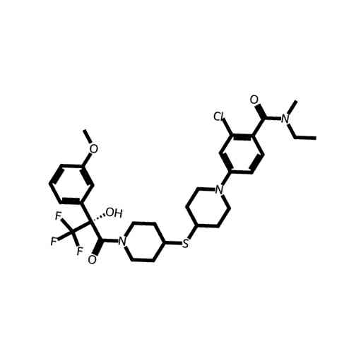 CCN(C)C(=O)c1ccc(N2CCC(SC3CCN(C(=O)[C@](O)(c4cccc(OC)c4)C(F)(F)F)CC3)CC2)cc1Cl